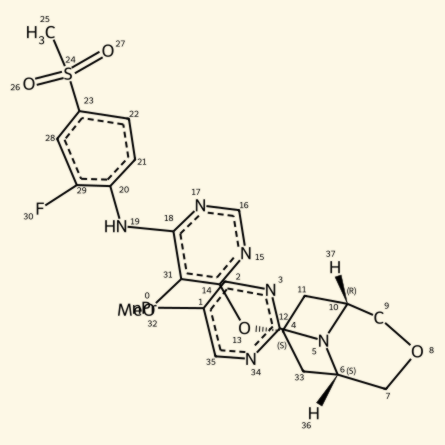 CCCc1cnc(N2[C@@H]3COC[C@H]2C[C@@H](Oc2ncnc(Nc4ccc(S(C)(=O)=O)cc4F)c2OC)C3)nc1